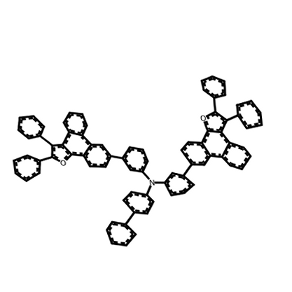 c1ccc(-c2ccc(N(c3cccc(-c4ccc5c(c4)c4ccccc4c4c(-c6ccccc6)c(-c6ccccc6)oc54)c3)c3cccc(-c4ccc5c(c4)c4ccccc4c4c(-c6ccccc6)c(-c6ccccc6)oc54)c3)cc2)cc1